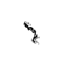 CNC(=O)CN(CCN1CCN(c2ccc(-c3ccc(OC)cc3)cn2)CC1)C(=O)O